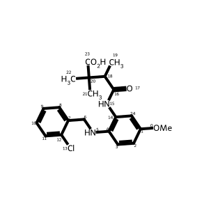 COc1ccc(NCc2ccccc2Cl)c(NC(=O)C(C)C(C)(C)C(=O)O)c1